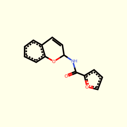 O=C(NC1C=Cc2ccccc2O1)c1ccco1